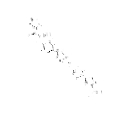 CC(C)c1noc(N2CCC(COc3ccc(-c4ccc(CC(N)C(=O)N5CCCC5)c(F)c4)cn3)CC2)n1